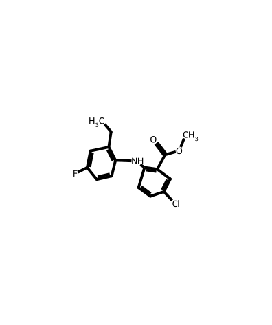 CCc1cc(F)ccc1Nc1ccc(Cl)cc1C(=O)OC